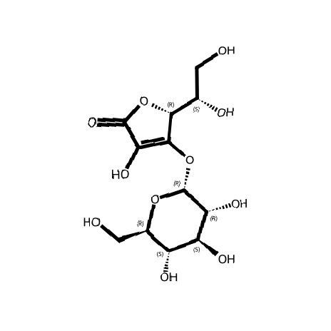 O=C1O[C@H]([C@@H](O)CO)C(O[C@H]2O[C@H](CO)[C@@H](O)[C@H](O)[C@H]2O)=C1O